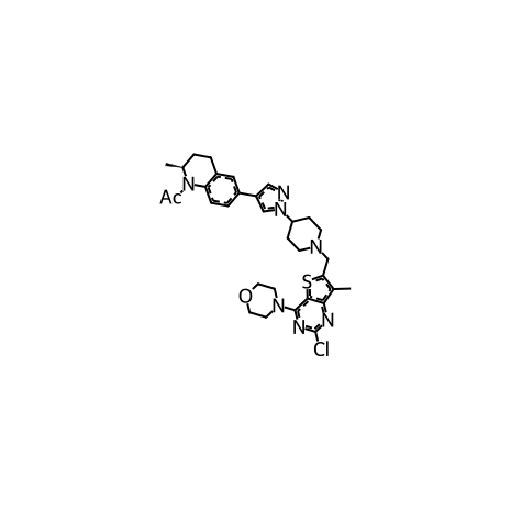 CC(=O)N1c2ccc(-c3cnn(C4CCN(Cc5sc6c(N7CCOCC7)nc(Cl)nc6c5C)CC4)c3)cc2CC[C@@H]1C